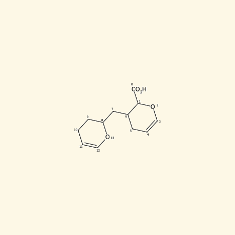 O=C(O)C1OC=CCC1CC1CCC=CO1